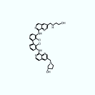 OCCNCc1cnc2c(Nc3cccc(-c4cccc(Nc5nccc6cc(CN7CC[C@@H](O)C7)cnc56)c4Cl)c3Cl)nccc2c1